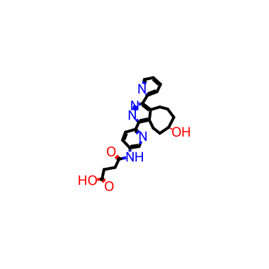 O=C(O)CCC(=O)Nc1ccc(-c2nnc(-c3ccccn3)c3c2CC[C@@H](O)CCC3)nc1